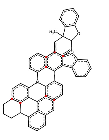 CC12C=C(c3cccc(N(c4ccccc4-c4cccc5cccc(C6CCCCC6)c45)c4ccccc4-c4cccc5oc6ccccc6c45)c3)C=CC1Oc1ccccc12